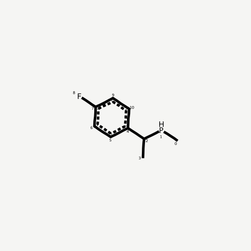 CPC(C)c1ccc(F)cc1